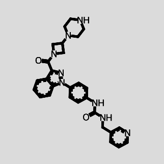 O=C(NCc1cccnc1)Nc1ccc(-n2nc(C(=O)N3CC(N4CCNCC4)C3)c3ccccc32)cc1